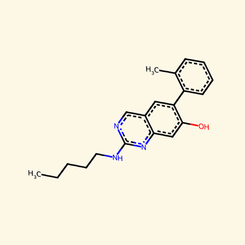 CCCCCNc1ncc2cc(-c3ccccc3C)c(O)cc2n1